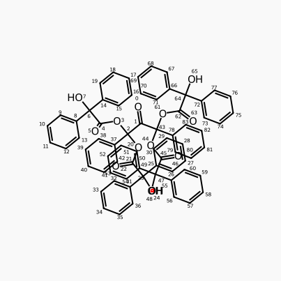 O=C(C(OC(=O)C(O)(c1ccccc1)c1ccccc1)(OC(=O)C(O)(c1ccccc1)c1ccccc1)c1ccccc1)C(OC(=O)C(O)(c1ccccc1)c1ccccc1)(OC(=O)C(O)(c1ccccc1)c1ccccc1)c1ccccc1